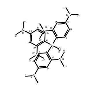 CN(C)c1ccc([Si](Cl)(c2ccc(N(C)C)cc2N(C)C)c2ccc(N(C)C)cc2N(C)C)c(N(C)C)c1